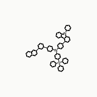 c1ccc(-n2c3ccccc3c3c(-c4ccc(N(c5ccc(-c6cccc(-c7ccc8ccccc8c7)c6)cc5)c5ccc(S(c6ccccc6)(c6ccccc6)c6ccccc6)cc5)cc4)cccc32)cc1